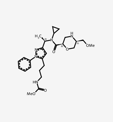 COC[C@H]1CO[C@@H](C(=O)N(C2CC2)[C@H](C)c2cc(CCCNC(=O)OC)n(-c3ccccc3)n2)CN1